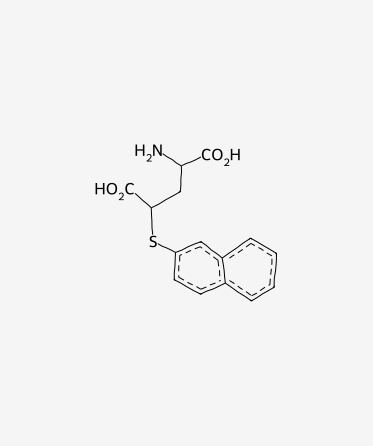 NC(CC(Sc1ccc2ccccc2c1)C(=O)O)C(=O)O